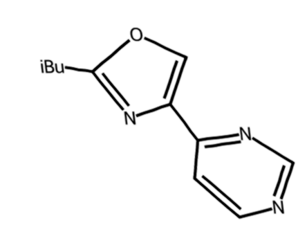 CCC(C)c1nc(-c2ccncn2)co1